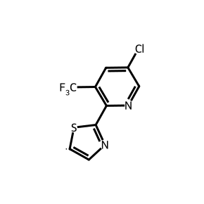 FC(F)(F)c1cc(Cl)cnc1-c1nc[c]s1